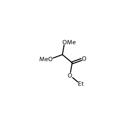 CCOC(=O)C(OC)OC